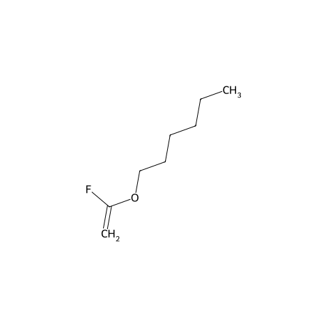 C=C(F)OCCCCCC